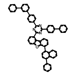 c1ccc(-c2ccc(-c3nc(-c4ccc(-c5cccc(-c6ccccc6)c5)cc4)nc(-c4cccc5oc6c(-c7ccc(-c8ccccc8)c8ccccc78)cccc6c45)n3)cc2)cc1